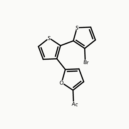 CC(=O)c1ccc(-c2ccsc2-c2sccc2Br)o1